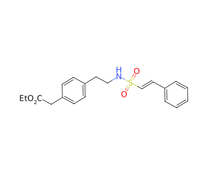 CCOC(=O)Cc1ccc(CCNS(=O)(=O)/C=C/c2ccccc2)cc1